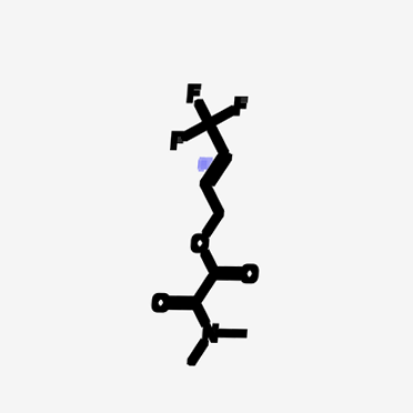 CN(C)C(=O)C(=O)OC/C=C/C(F)(F)F